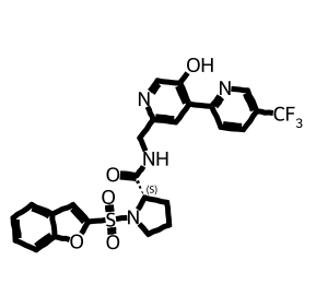 O=C(NCc1cc(-c2ccc(C(F)(F)F)cn2)c(O)cn1)[C@@H]1CCCN1S(=O)(=O)c1cc2ccccc2o1